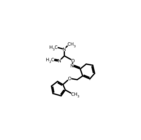 C=NC(ON=C1CC=C[C]=C1COc1ccccc1C)N(C)C